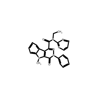 CCN(C(=O)c1nn(-c2ccccc2)c(=O)c2c1c1ccccc1n2C)c1ncccn1